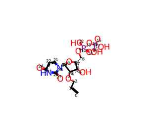 C=CCO[C@@H]1[C@H](O)[C@@H](COP(=O)(O)OP(=O)(O)O)O[C@H]1n1ccc(=O)[nH]c1=O